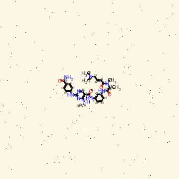 CCCNc1nc(Nc2ccc(C(N)=O)cc2)ncc1C(=O)Nc1cccc(NC(=O)[C@H](C)N(C)C(=O)C=CCN(C)C)c1